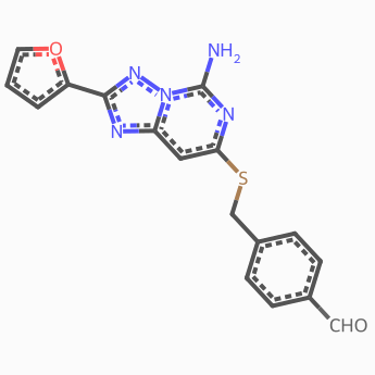 Nc1nc(SCc2ccc(C=O)cc2)cc2nc(-c3ccco3)nn12